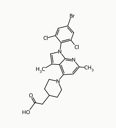 Cc1cc(N2CCC(CC(=O)O)CC2)c2c(C)cn(-c3c(Cl)cc(Br)cc3Cl)c2n1